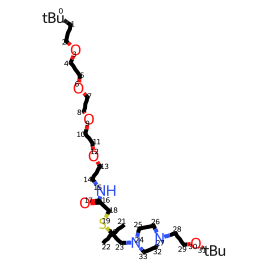 CC(C)(C)CCOCCOCCOCCOCCNC(=O)CSC(C)(C)CN1CCN(CCOC(C)(C)C)CC1